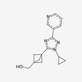 OCC12CC(c3nc(-c4c[c]cnc4)nn3C3CC3)(C1)C2